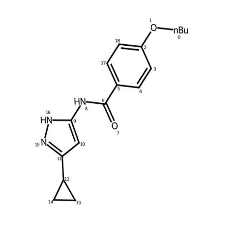 CCCCOc1ccc(C(=O)Nc2cc(C3CC3)n[nH]2)cc1